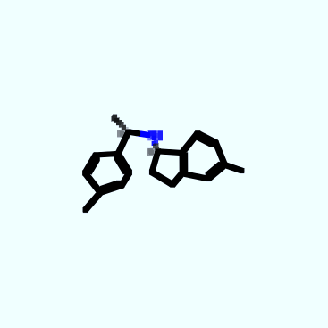 Cc1ccc([C@H](C)N[C@H]2CCc3cc(C)ccc32)cc1